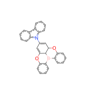 C1=C2Oc3ccccc3B3c4ccccc4OC(C=C1n1c4ccccc4c4ccccc41)C32